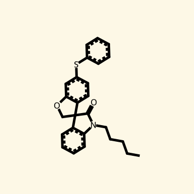 CCCCCN1C(=O)C2(COc3cc(Sc4ccccc4)ccc32)c2ccccc21